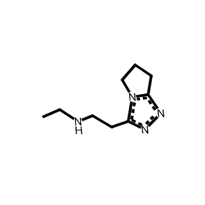 CCNCCc1nnc2n1CCC2